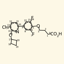 O=C(O)CCCOc1c(F)cc(-c2ccc(Cl)c(OC3CCC3)n2)cc1F